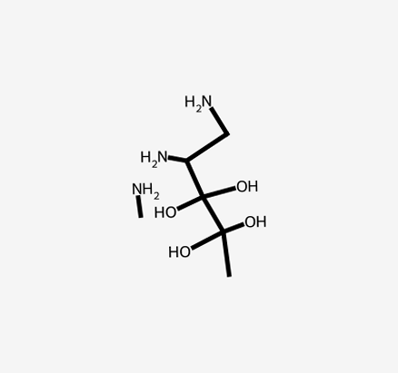 CC(O)(O)C(O)(O)C(N)CN.CN